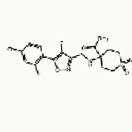 NC(=O)C1(NCc2noc(-c3ccc(Cl)cc3F)c2F)CCS(=O)(=O)CC1